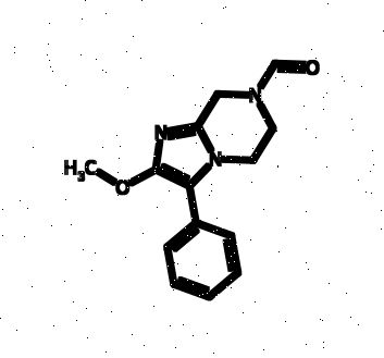 COc1nc2n(c1-c1ccccc1)CCN(C=O)C2